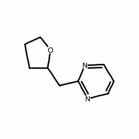 c1cnc(CC2CCCO2)nc1